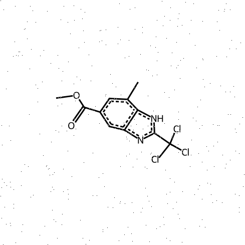 COC(=O)c1cc(C)c2[nH]c(C(Cl)(Cl)Cl)nc2c1